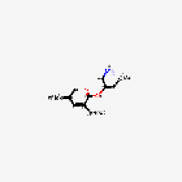 CCCCCCC/C(=C/C(C)CCCCCC)C(=O)OC(CN)COC